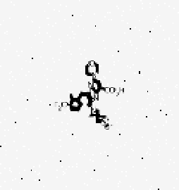 Cc1c(Cc2c(CN3CC4(C3)C[S+]([O-])C4)nc3c(C(=O)O)cc(N4CCOCC4)nn23)cccc1C(F)(F)F